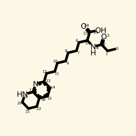 CCC(=O)NC(CCCCCCCc1ccc2c(n1)NCCC2)C(=O)O